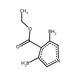 Bc1cncc(B)c1C(=O)OCC